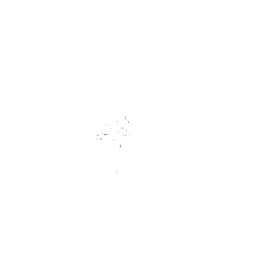 CCCCCCOC(=O)c1nc(C(=O)OCCCCCC)c(C(=O)OCCCCCC)c(-c2cccc([N+](=O)[O-])c2)c1C(=O)OCCCCCC